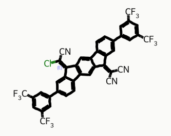 N#CC(C#N)=C1c2cc(-c3cc(C(F)(F)F)cc(C(F)(F)F)c3)ccc2-c2cc3c(cc21)-c1ccc(-c2cc(C(F)(F)F)cc(C(F)(F)F)c2)cc1/C3=C(\Cl)C#N